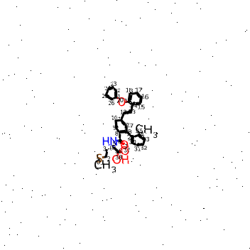 CSCC[C@H](NC(=O)c1ccc(C=Cc2ccccc2Oc2ccccc2)cc1-c1ccccc1C)C(=O)O